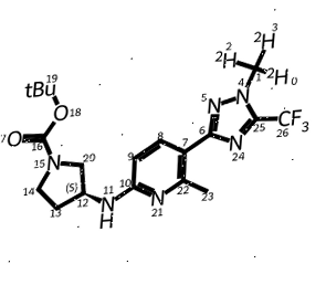 [2H]C([2H])([2H])n1nc(-c2ccc(N[C@H]3CCN(C(=O)OC(C)(C)C)C3)nc2C)nc1C(F)(F)F